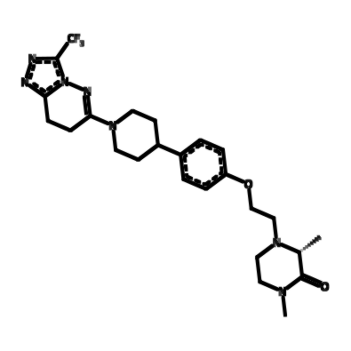 C[C@@H]1C(=O)N(C)CCN1CCOc1ccc(C2CCN(C3=Nn4c(nnc4C(F)(F)F)CC3)CC2)cc1